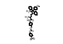 COc1ccc(C(c2ccccc2)(c2ccccc2)C(N)CCC[C@@H](N)C(=O)Nc2ccc(COC(=O)Oc3ccc([N+](=O)[O-])cc3)cc2)cc1